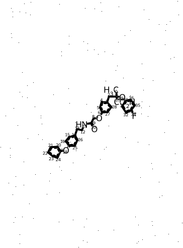 CC(Cc1ccc(OCC(=O)NCCc2ccc(Oc3ccccc3)cc2)cc1)(Oc1ccc(F)cc1)C(=O)O